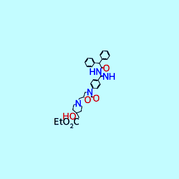 CCOC(=O)CC1(O)CCN(CC2CN(c3ccc(C(=N)NC(=O)C(c4ccccc4)c4ccccc4)cc3)C(=O)O2)CC1